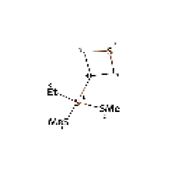 CCS(SC)(SC)C1CSC1